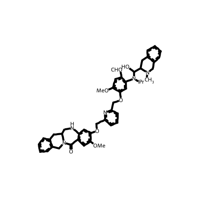 COc1cc2c(cc1OCc1cccc(COc3cc(N(C(C)C)C(O)C4Cc5ccccc5CN4C)c(C=O)cc3OC)n1)NCC1Cc3ccccc3CN1C2=O